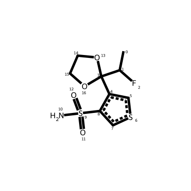 CC(F)C1(c2cscc2S(N)(=O)=O)OCCO1